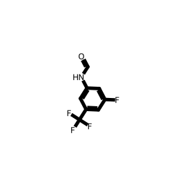 O=CNc1cc(F)cc(C(F)(F)F)c1